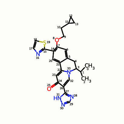 CC(C)C1Cc2cc(OCCC3CC3)c(-c3nccs3)cc2-c2cc(=O)c(-c3ncn[nH]3)cn21